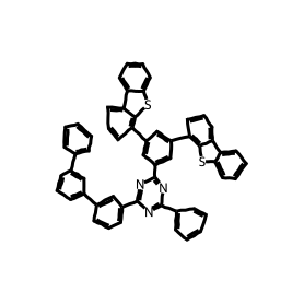 c1ccc(-c2cccc(-c3cccc(-c4nc(-c5ccccc5)nc(-c5cc(-c6cccc7c6sc6ccccc67)cc(-c6cccc7c6sc6ccccc67)c5)n4)c3)c2)cc1